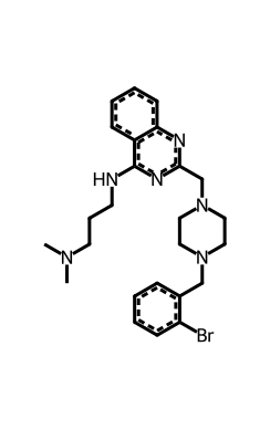 CN(C)CCCNc1nc(CN2CCN(Cc3ccccc3Br)CC2)nc2ccccc12